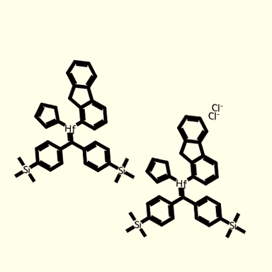 C[Si](C)(C)c1ccc([C](c2ccc([Si](C)(C)C)cc2)=[Hf]([C]2=CC=CC2)[c]2cccc3c2Cc2ccccc2-3)cc1.C[Si](C)(C)c1ccc([C](c2ccc([Si](C)(C)C)cc2)=[Hf]([C]2=CC=CC2)[c]2cccc3c2Cc2ccccc2-3)cc1.[Cl-].[Cl-]